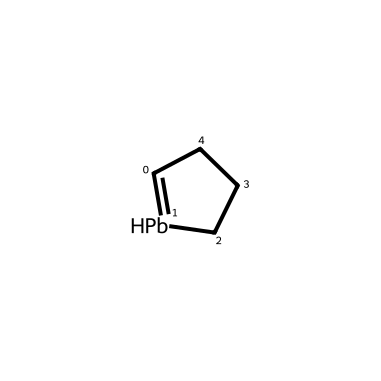 [CH]1=[PbH][CH2]CC1